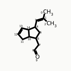 CC(C)=CC1CC(CC=O)C2CC=CC12